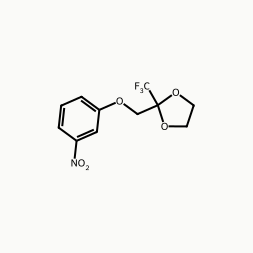 O=[N+]([O-])c1cccc(OCC2(C(F)(F)F)OCCO2)c1